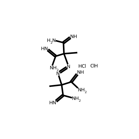 CC(N=NC(C)(C(=N)N)C(=N)N)(C(=N)N)C(=N)N.Cl.Cl